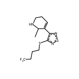 CC1NCCC=C1c1nsnc1SCCCC(F)(F)F